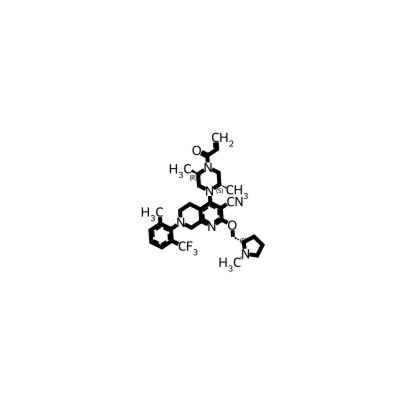 C=CC(=O)N1C[C@H](C)N(c2c(C#N)c(OC[C@@H]3CCCN3C)nc3c2CCN(c2c(C)cccc2C(F)(F)F)C3)C[C@H]1C